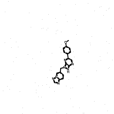 COc1ccc(-c2cnc3[nH]n(Cc4ccc5ncnn5c4)c3n2)cc1